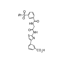 CC(C)S(=O)(=O)c1cccc(C(=O)NCC(=O)Nc2nc(-c3cccc(C(=O)O)c3)cs2)c1